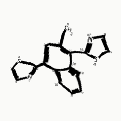 Cc1cc(-c2nccs2)c2ccccc2c1-c1nccs1